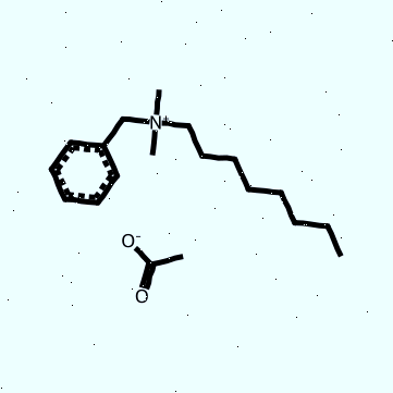 CC(=O)[O-].CCCCCCCC[N+](C)(C)Cc1ccccc1